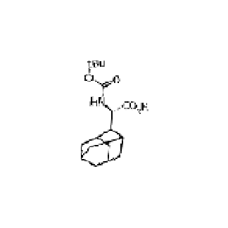 CC(C)(C)OC(=O)N[C@H](C(=O)O)C1C2CC3CC(C2)CC1C3